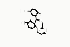 O=c1ccn2c(n1)CN=C(c1cc(O)ccc1F)c1c-2ccc(Cl)c1Cl